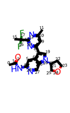 CC(=O)Nc1cc2c(-c3cc(C)nc(C(C)(F)F)n3)cn([C@H]3CCOC3)c2cn1